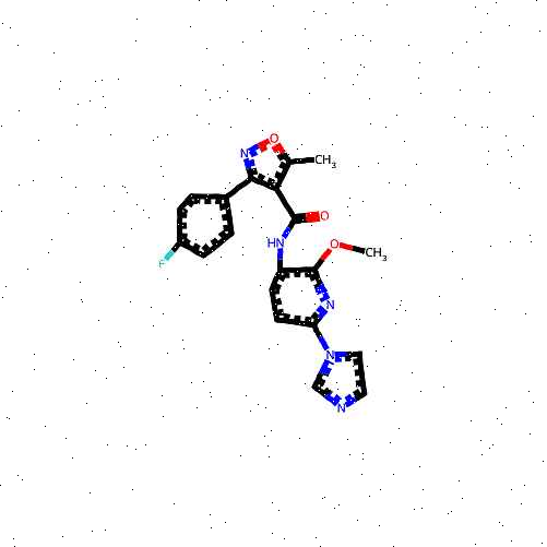 COc1nc(-n2ccnc2)ccc1NC(=O)c1c(-c2ccc(F)cc2)noc1C